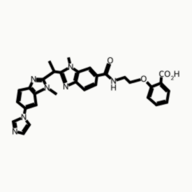 CC(c1nc2ccc(C(=O)NCCOc3ccccc3C(=O)O)cc2n1C)c1nc2ccc(-n3ccnc3)cc2n1C